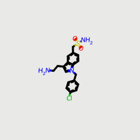 NCCc1cn(Cc2ccc(Cl)cc2)c2ccc(CS(N)(=O)=O)cc12